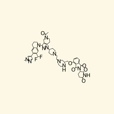 CC(=O)N1CCc2c(c(N3CCCc4cc(-c5cnn(C)c5)c(C(F)F)cc43)nn2C2CCN(CCN3CCNC(COc4cccc5c4C(=O)N(C4CCC(=O)NC4=O)C5=O)C3)CC2)C1